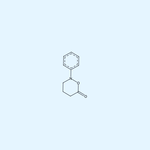 O=C1CCCN(c2ccccc2)O1